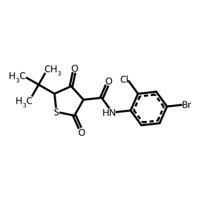 CC(C)(C)C1SC(=O)C(C(=O)Nc2ccc(Br)cc2Cl)C1=O